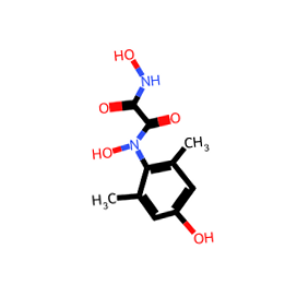 Cc1cc(O)cc(C)c1N(O)C(=O)C(=O)NO